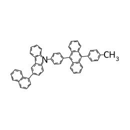 Cc1ccc(-c2c3ccccc3c(-c3ccc(-n4c5ccccc5c5cc(-c6cccc7ccccc67)ccc54)cc3)c3ccccc23)cc1